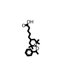 CC(ON1C(C)(C)CC(CCCCC(=O)O)CC1(C)C)c1ccccc1